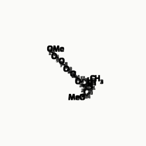 COCCOCCOCCOCCOCCO[C@H]1CC[C@H]2[C@H]3Cc4ccc(OC)cc4[C@@]2(CCN3C)C1